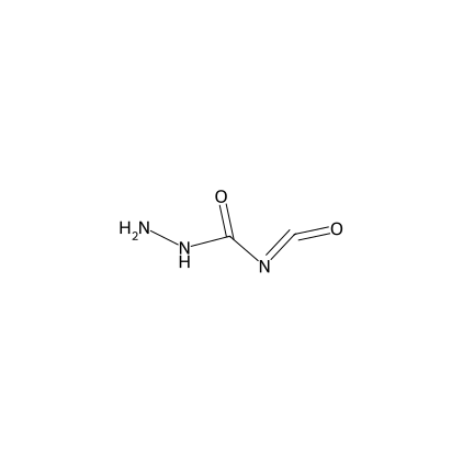 NNC(=O)N=C=O